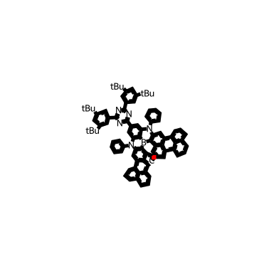 CC(C)(C)c1cc(-c2nc(-c3cc(C(C)(C)C)cc(C(C)(C)C)c3)nc(-c3cc4c5c(c3)N(c3ccccc3)c3cc6c7cccc8cccc(c9cccc(c3B5c3c(cc5c%10cccc%11cccc(c%12cccc3c%125)c%11%10)N4c3ccccc3)c96)c87)n2)cc(C(C)(C)C)c1